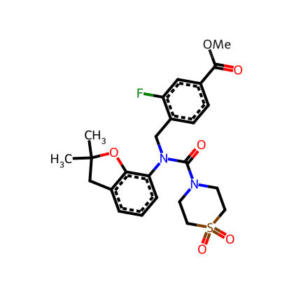 COC(=O)c1ccc(CN(C(=O)N2CCS(=O)(=O)CC2)c2cccc3c2OC(C)(C)C3)c(F)c1